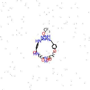 CC1COc2ccc(cc2)CNc2nc(nc(OCC(F)(F)F)n2)Nc2ccc(cc2)C(=O)NCCC(=O)NS(=O)(=O)C1